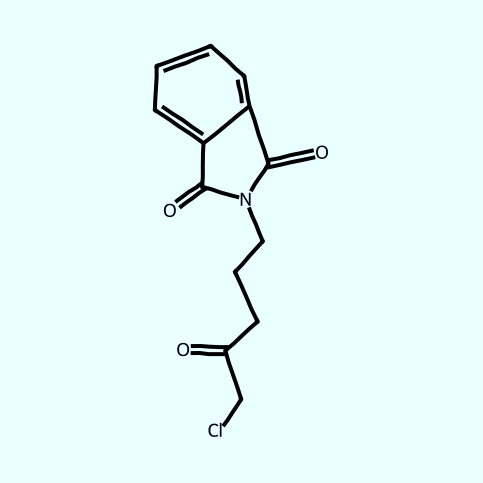 O=C(CCl)CCCN1C(=O)c2ccccc2C1=O